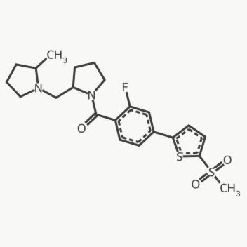 CC1CCCN1CC1CCCN1C(=O)c1ccc(-c2ccc(S(C)(=O)=O)s2)cc1F